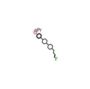 CCCOc1ccc(C2CCC(C3CCC(CCC=CF)CC3)CC2)cc1